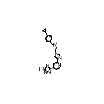 CN(CCn1cnc(-c2cc(-c3nn[nH]n3)ccn2)c1)Cc1ccc(C2CC2)cc1